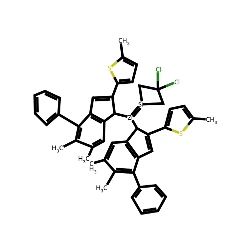 Cc1ccc(C2=Cc3c(cc(C)c(C)c3-c3ccccc3)[CH]2[Zr]([CH]2C(c3ccc(C)s3)=Cc3c2cc(C)c(C)c3-c2ccccc2)=[Si]2CC(Cl)(Cl)C2)s1